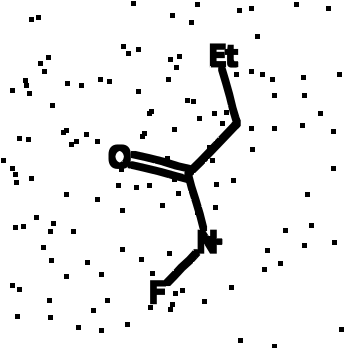 CCCC(=O)[N]F